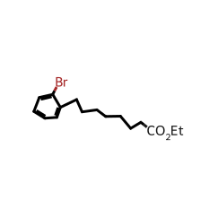 CCOC(=O)CCCCCCCc1ccccc1Br